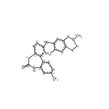 Cc1nc2c(cc1Nc1ncc3c(n1)-c1ccc(C(F)(F)F)cc1NC(=O)C3)CN(C)CC2